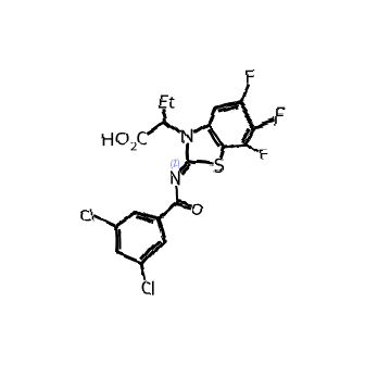 CCC(C(=O)O)n1/c(=N/C(=O)c2cc(Cl)cc(Cl)c2)sc2c(F)c(F)c(F)cc21